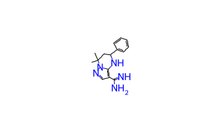 CC1(C)CC(c2ccccc2)Nc2c(C(=N)N)cnn21